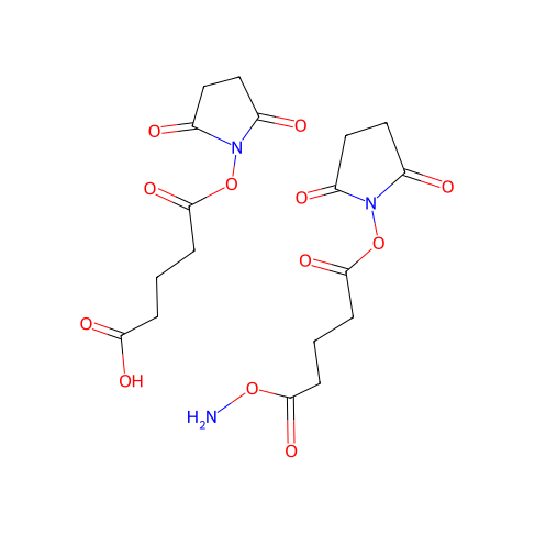 NOC(=O)CCCC(=O)ON1C(=O)CCC1=O.O=C(O)CCCC(=O)ON1C(=O)CCC1=O